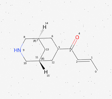 CC=CC(=O)C1C[C@@H]2CNC[C@@H](C1)C2